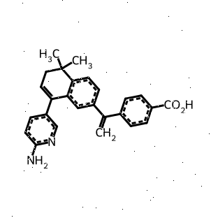 C=C(c1ccc(C(=O)O)cc1)c1ccc2c(c1)C(c1ccc(N)nc1)=CCC2(C)C